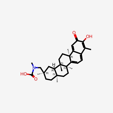 CC1=C(O)C(=O)C=C2C1=CC=C1[C@@]2(C)CC[C@@]2(C)[C@@H]3C[C@](C)(CN(C)C(=O)O)CC[C@]3(C)CC[C@]12C